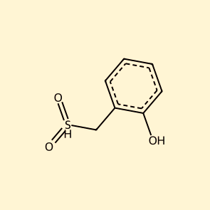 O=[SH](=O)Cc1ccccc1O